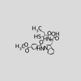 CCCC(CS)C(=O)N[C@@H](Cc1cn(NC(=O)c2ccc(C(=O)OC)cc2)c2ccccc12)C(=O)O